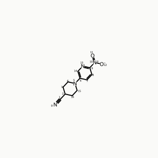 N#CC1CCN(c2ccc([N+](=O)[O-])nc2)CC1